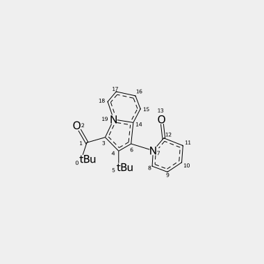 CC(C)(C)C(=O)c1c(C(C)(C)C)c(-n2ccccc2=O)c2ccccn12